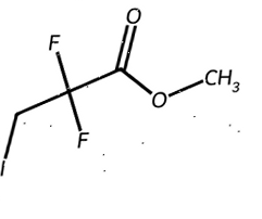 COC(=O)C(F)(F)CI